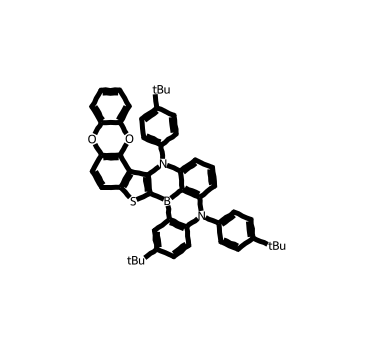 CC(C)(C)c1ccc(N2c3ccc(C(C)(C)C)cc3B3c4sc5ccc6c(c5c4N(c4ccc(C(C)(C)C)cc4)c4cccc2c43)Oc2ccccc2O6)cc1